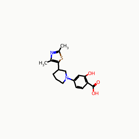 Cc1nc(C)c(C2CCCN(c3ccc(C(=O)O)c(O)c3)C2)s1